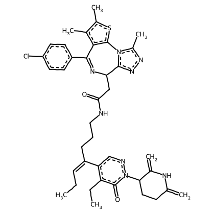 C=C1CCC(n2ncc(/C(=C\CC)CCCNC(=O)CC3N=C(c4ccc(Cl)cc4)c4c(sc(C)c4C)-n4c(C)nnc43)c(CC)c2=O)C(=C)N1